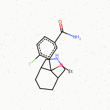 CCOC1(c2cc(C(N)=O)ccc2F)C2CCCC1CNC2